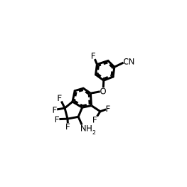 N#Cc1cc(F)cc(Oc2ccc3c(c2C(F)F)C(N)C(F)(F)C3(F)F)c1